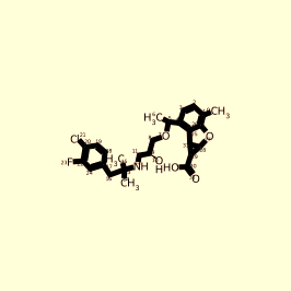 Cc1ccc(C(C)OC[C@H](O)CNC(C)(C)Cc2ccc(Cl)c(F)c2)c2c1OC1C(C(=O)O)C21